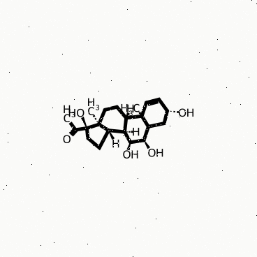 CC(=O)[C@@]1(O)CC[C@H]2[C@@H]3[C@H](O)[C@H](O)C4C[C@@H](O)C=C[C@]4(C)[C@H]3CC[C@@]21C